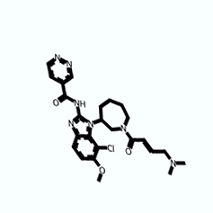 COc1ccc2nc(NC(=O)c3ccnnc3)n(C3CCCCN(C(=O)/C=C/CN(C)C)C3)c2c1Cl